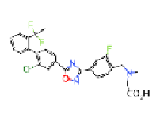 CN(CC(=O)O)Cc1ccc(-c2noc(-c3ccc(-c4ccccc4C(C)(F)F)c(Cl)c3)n2)cc1F